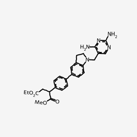 CCOC(=O)CC(C(=O)OC)c1ccc(-c2ccc3c(c2)CCN3Cc2cnc(N)nc2N)cc1